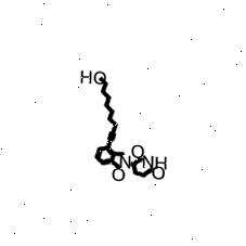 O=C1CCC(N2Cc3c(C#CCCCCCCCO)cccc3C2=O)C(=O)N1